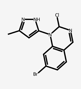 Cc1cc(N2c3cc(Br)ccc3C=NC2Cl)[nH]n1